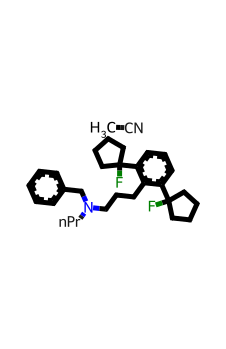 CC#N.CCCN(CCCc1c(C2(F)CCCC2)cccc1C1(F)CCCC1)Cc1ccccc1